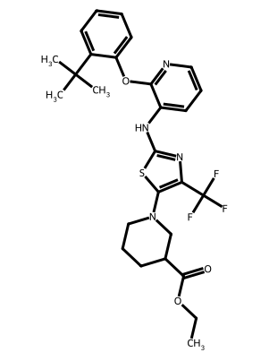 CCOC(=O)C1CCCN(c2sc(Nc3cccnc3Oc3ccccc3C(C)(C)C)nc2C(F)(F)F)C1